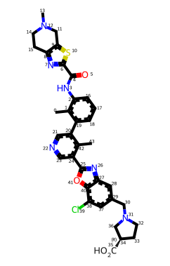 Cc1c(NC(=O)c2nc3c(s2)CN(C)CC3)cccc1-c1cncc(-c2nc3cc(CN4CC[C@@H](C(=O)O)C4)cc(Cl)c3o2)c1C